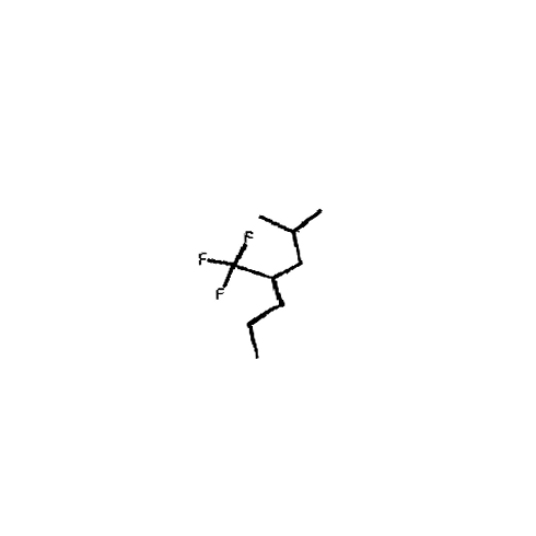 CCCC(C[C](C)C)C(F)(F)F